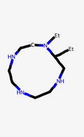 CCC1CNCCNCCNCCN1CC